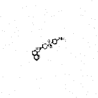 Nc1ccc(S(=O)(=O)N2CCC(NCc3cccc4cccnc34)CC2)cc1